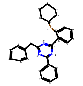 c1ccc(Cc2nc(-c3ccccc3)nc(-c3ccccc3SC3CCCCC3)n2)cc1